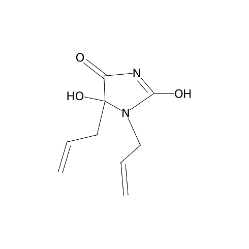 C=CCN1C(O)=NC(=O)C1(O)CC=C